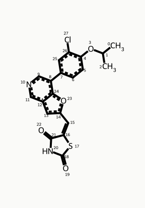 CC(C)Oc1ccc(-c2cncc3cc(/C=C4/SC(=O)NC4=O)oc23)cc1Cl